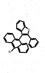 Brc1c2ccccc2c(-c2c(-c3ccccc3)oc3ccccc23)c2ccccc12